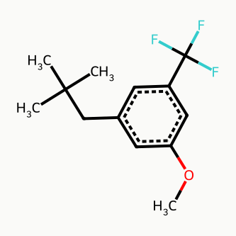 COc1cc(CC(C)(C)C)cc(C(F)(F)F)c1